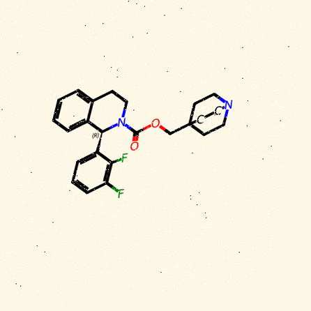 O=C(OCC12CCN(CC1)CC2)N1CCc2ccccc2[C@@H]1c1cccc(F)c1F